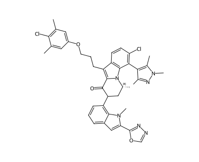 Cc1cc(OCCCc2c3n(c4c(-c5c(C)nn(C)c5C)c(Cl)ccc24)[C@H](C)CC(c2cccc4cc(-c5nnco5)n(C)c24)C3=O)cc(C)c1Cl